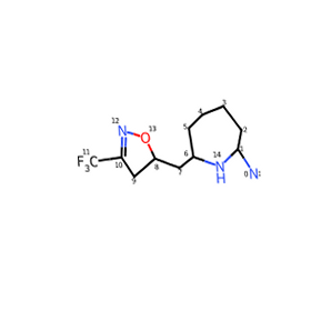 [N]C1CCCCC(CC2CC(C(F)(F)F)=NO2)N1